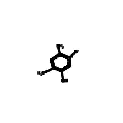 Cc1cc(N)[n+]([O-])cc1O